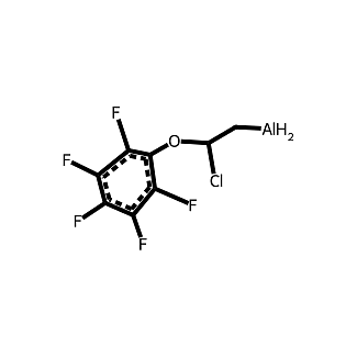 Fc1c(F)c(F)c(OC(Cl)[CH2][AlH2])c(F)c1F